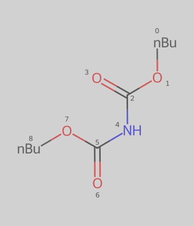 CCCCOC(=O)NC(=O)OCCCC